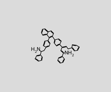 N/C(=C\C(=C/Cc1ccccc1)c1ccc(-c2ccc3ccccc3c2-c2ccc(CC(N)c3ccccc3)cc2)cc1)c1ccccc1